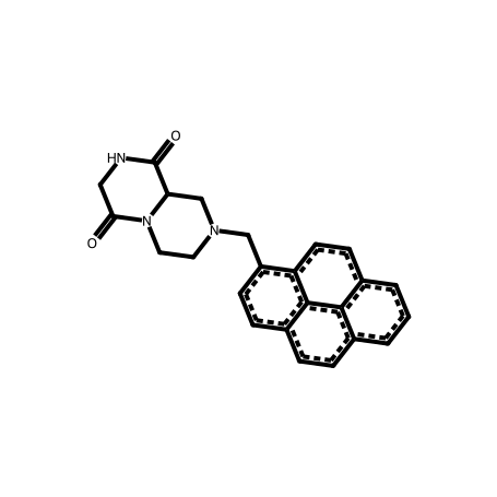 O=C1NCC(=O)N2CCN(Cc3ccc4ccc5cccc6ccc3c4c56)CC12